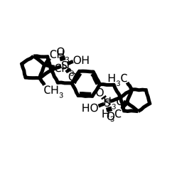 CC1(C)C2CCC1(C)C(Cc1ccc(CC3(S(=O)(=O)O)CC4CCC3(C)C4(C)C)cc1)(S(=O)(=O)O)C2